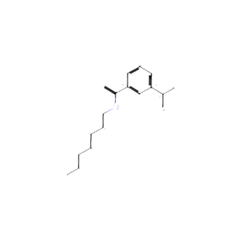 C=C(NCCCCCCC)c1cccc(C(C)C)c1